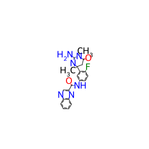 CN1C(=O)CC(C)(c2cc(NC(=O)c3cnc4ccccc4n3)ccc2F)N=C1N